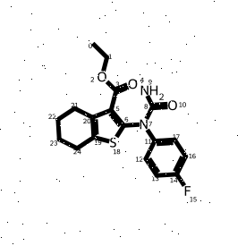 CCOC(=O)c1c(N(C(N)=O)c2ccc(F)cc2)sc2c1CCCC2